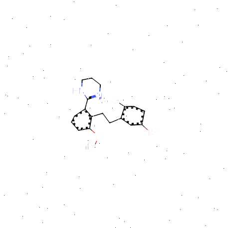 CCCOc1cccc(C2=NCCCN2)c1CCc1cc(Br)ccc1OC